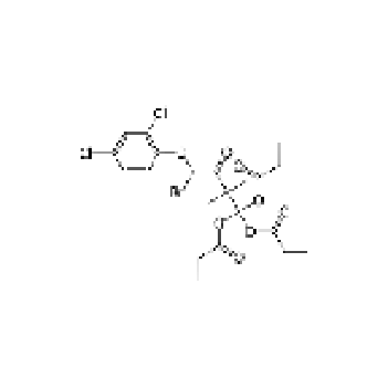 CCC(=O)OC(OC(=O)CC)(OC(=O)CC)C(C)(C)C(=O)C(Br)Oc1ccc(Cl)cc1Cl